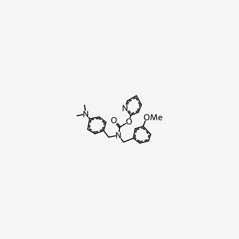 COc1cccc(CN(Cc2ccc(N(C)C)cc2)C(=O)Oc2ccccn2)c1